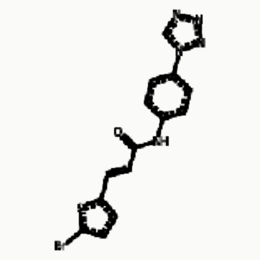 O=C(/C=C/c1ccc(Br)s1)Nc1ccc(-n2cnnn2)cc1